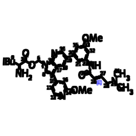 CCC(C)C(N)C(=O)OCn1cc(-c2ccnc(OC)c2)c2cc(-c3cc(NC(=O)/C=C/CN(C)C)cc(OC)c3)cnc21